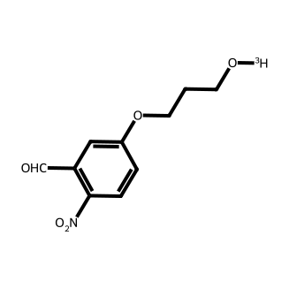 [3H]OCCCOc1ccc([N+](=O)[O-])c(C=O)c1